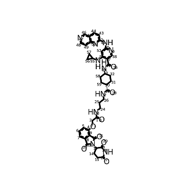 O=C(COc1cccc2c1C(=O)N(C1CCC(=O)NC1=O)C2=O)NCCCNC(=O)[C@H]1CC[C@H](NC(=O)c2cnc(Nc3ccc4cnccc4n3)cc2NC2CC2)CC1